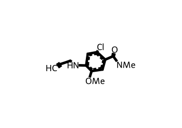 C#CCNc1cc(Cl)c(C(=O)NC)cc1OC